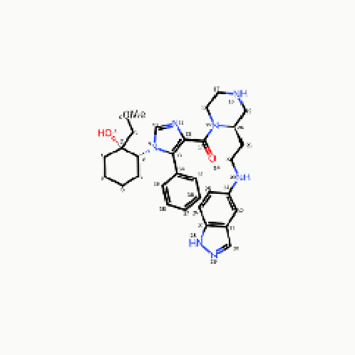 COC[C@]1(O)CCCC[C@H]1n1cnc(C(=O)N2CCNC[C@H]2CCNc2ccc3[nH]ncc3c2)c1-c1ccccc1